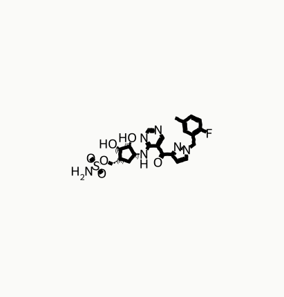 Cc1ccc(F)c(Cn2ccc(C(=O)c3cncnc3N[C@@H]3C[C@H](COS(N)(=O)=O)[C@@H](O)[C@H]3O)n2)c1